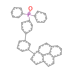 O=P(c1ccccc1)(c1ccccc1)c1ccc(-c2cccc(-c3ccc4ccc5cccc6ccc3c4c56)c2)cc1